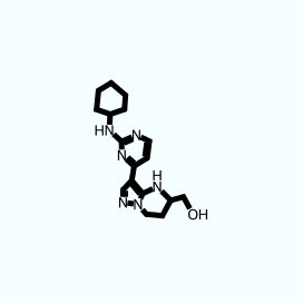 OCC1CCn2ncc(-c3ccnc(NC4CCCCC4)n3)c2N1